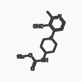 Cc1nccc(N2CCC(NC(=O)OC(C)(C)C)CC2)c1C=O